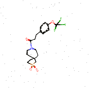 O=C(CCc1ccc(OC(F)(F)F)cc1)N1CCC2(CC1)CS(=O)(=O)C2